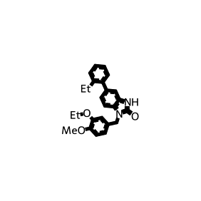 CCOc1cc(Cn2c(=O)[nH]c3cc(-c4ccccc4CC)ccc32)ccc1OC